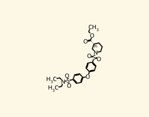 CCOC(=O)[C@@H]1CCCN(S(=O)(=O)c2ccc(Oc3ccc(S(=O)(=O)N(CC)CC)cc3)cc2)C1